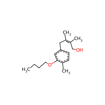 CCCCOc1cc(CC(C)=C(C)CO)ccc1C